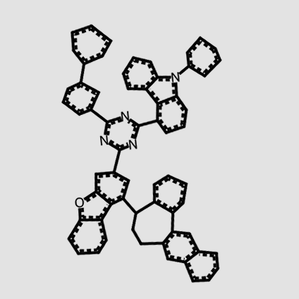 c1ccc(-c2cccc(-c3nc(-c4cc(C5CCc6cc7ccccc7cc6-c6ccccc65)c5c(c4)oc4ccccc45)nc(-c4cccc5c4c4ccccc4n5-c4ccccc4)n3)c2)cc1